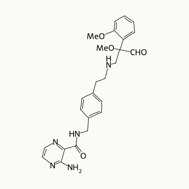 COc1ccccc1C(C=O)(CNCCc1ccc(CNC(=O)c2nccnc2N)cc1)OC